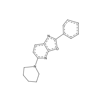 c1ccc(-c2nc3ccc(N4CCCCC4)nc3o2)cc1